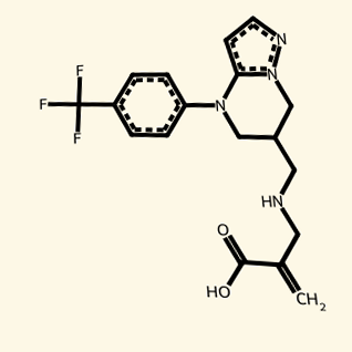 C=C(CNCC1CN(c2ccc(C(F)(F)F)cc2)c2ccnn2C1)C(=O)O